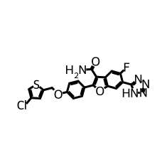 NC(=O)c1c(-c2ccc(OCc3cc(Cl)cs3)cc2)oc2cc(-c3nnn[nH]3)c(F)cc12